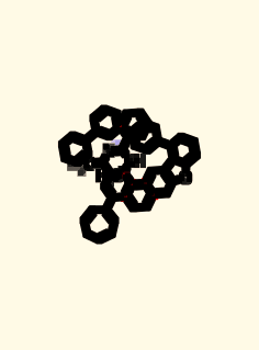 C=C(/N=C(\NC(C)c1ccccc1)c1ccccc1)c1cc(C2=CC=CCC=C2)cc(-c2ccc3oc4c(c3c2)=C(c2ccc(-c3cccc(-c5ccccc5)c3)cc2)C=C=C=4)n1